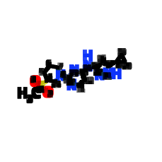 CS(=O)(=O)C1CCCN(c2nccc(Nc3cc(C4CC4)[nH]n3)n2)C1